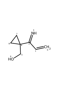 C=CC(=N)C1(CO)CC1